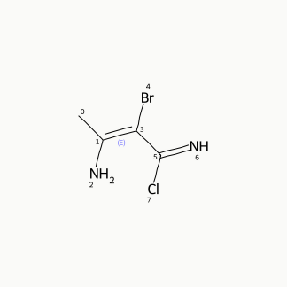 C/C(N)=C(\Br)C(=N)Cl